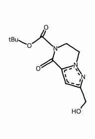 CC(C)(C)OC(=O)N1CCn2nc(CO)cc2C1=O